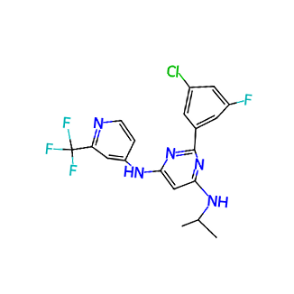 CC(C)Nc1cc(Nc2ccnc(C(F)(F)F)c2)nc(-c2cc(F)cc(Cl)c2)n1